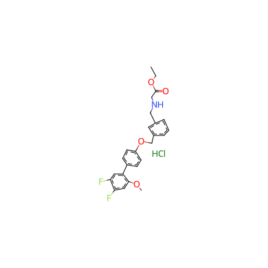 CCOC(=O)CNCc1cccc(COc2ccc(-c3cc(F)c(F)cc3OC)cc2)c1.Cl